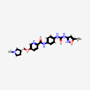 CCN1CC[C@@H](COc2ccc(C(=O)Nc3ccc(NC(=O)Nc4cc(C(C)(C)C)on4)cc3)nc2)C1